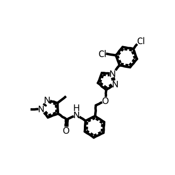 Cc1nn(C)cc1C(=O)Nc1ccccc1COc1ccn(-c2ccc(Cl)cc2Cl)n1